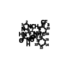 Cn1ccnc1C1(CNC(=O)c2ccccc2-c2ccc(C(F)(F)F)cc2)NC(=O)NC1=O